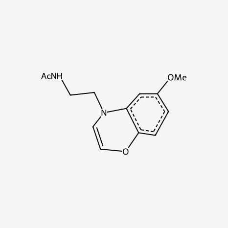 COc1ccc2c(c1)N(CCNC(C)=O)C=CO2